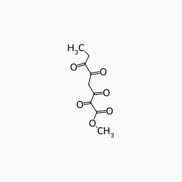 CCC(=O)C(=O)CC(=O)C(=O)C(=O)OC